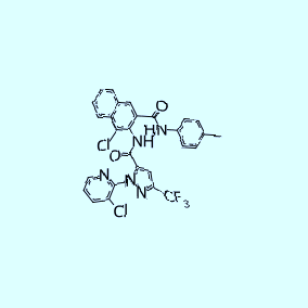 Cc1ccc(NC(=O)c2cc3ccccc3c(Cl)c2NC(=O)c2cc(C(F)(F)F)nn2-c2ncccc2Cl)cc1